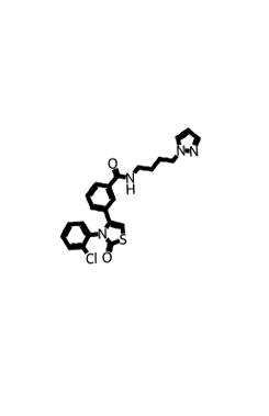 O=C(NCCCCn1cccn1)c1cccc(-c2csc(=O)n2-c2ccccc2Cl)c1